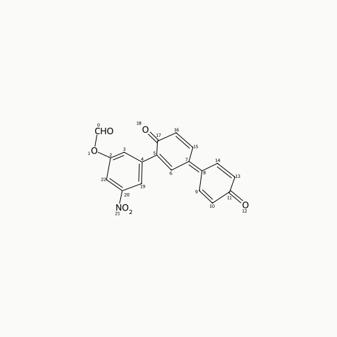 O=COc1cc(C2=CC(=C3C=CC(=O)C=C3)C=CC2=O)cc([N+](=O)[O-])c1